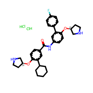 Cl.Cl.O=C(Nc1ccc(O[C@H]2CCNC2)c(-c2ccc(F)cc2)c1)c1ccc(O[C@H]2CCNC2)c(C2CCCCC2)c1